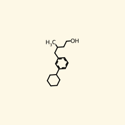 CC(CCO)Cc1cccc(C2CCCCC2)c1